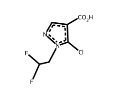 O=C(O)c1cnn(CC(F)F)c1Cl